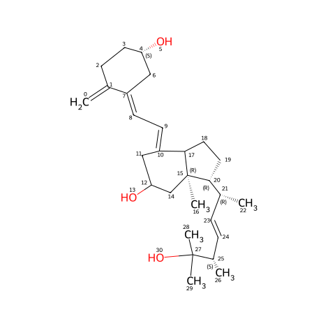 C=C1CC[C@H](O)CC1=CC=C1CC(O)C[C@@]2(C)C1CC[C@@H]2[C@H](C)C=C[C@H](C)C(C)(C)O